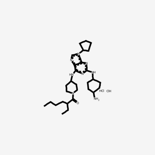 CCCCC(CC)C(=O)N1CCC(Nc2nc(NC3CCC(N)CC3)nc3c2ncn3C2CCCC2)CC1.Cl.Cl